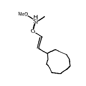 CO[SiH](C)OC=CC1CCCCCC1